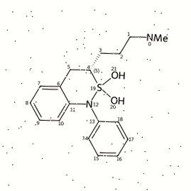 CNCCC[C@H]1Cc2ccccc2N(c2ccccc2)S1(O)O